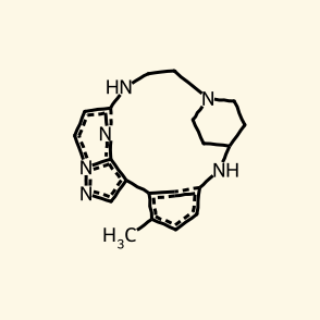 Cc1ccc2cc1-c1cnn3ccc(nc13)NCCN1CCC(CC1)N2